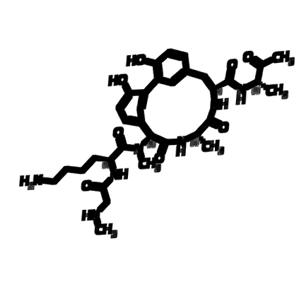 CNCC(=O)N[C@@H](CCCCN)C(=O)N(C)[C@@H]1C(=O)N[C@@H](C)C(=O)N[C@H](C(=O)N[C@@H](C)C(C)=O)Cc2ccc(O)c(c2)-c2cc1ccc2O